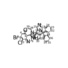 Clc1c(Br)cc2c3c1=NCNC=3N(Cc1cncn1C(c1ccccc1)(c1ccccc1)c1ccccc1)C=CO2